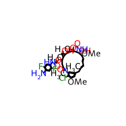 COc1cc2cc(c1Cl)N(C)C(=O)C[C@H](OC(=O)Nc1cc(F)c(N)cc1F)[C@]1(C)C[C@@]1(O)[C@H](C)[C@@H]1C[C@@](O)(NC(=O)O1)[C@H](OC)/C=C/C=C(\C)C2